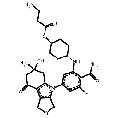 CC1(C)CC(=O)c2c3c(n(-c4cc(F)c(C(N)=O)c(N[C@H]5CC[C@H](OC(=O)CCN)CC5)c4)c2C1)COC3